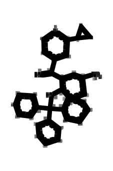 N=C(c1ccnc(C2CC2)c1)c1cc([N+](=O)[O-])ccc1NC(c1ccccc1)(c1ccccc1)c1ccccc1